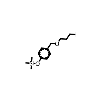 C[Si](C)(C)Oc1ccc(COCCCI)cc1